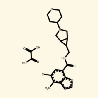 Nc1c(Cl)cc(C(=O)NCC2C3CN(C4CCOCC4)CC23)c2occc12.O=C(O)C(=O)O